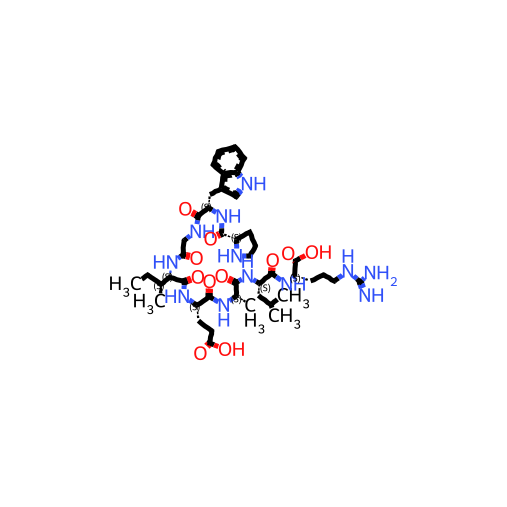 CC[C@H](C)[C@H](NC(=O)CNC(=O)[C@H](Cc1c[nH]c2ccccc12)NC(=O)[C@@H]1CCCN1)C(=O)N[C@@H](CCC(=O)O)C(=O)N[C@@H](C)C(=O)N[C@@H](CC(C)C)C(=O)N[C@@H](CCCNC(=N)N)C(=O)O